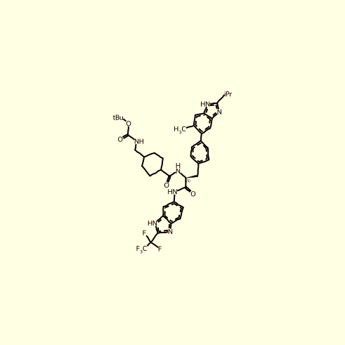 Cc1cc2[nH]c(C(C)C)nc2cc1-c1ccc(C[C@H](NC(=O)C2CCC(CNC(=O)OC(C)(C)C)CC2)C(=O)Nc2ccc3nc(C(F)(F)C(F)(F)F)[nH]c3c2)cc1